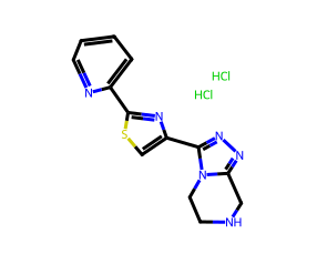 Cl.Cl.c1ccc(-c2nc(-c3nnc4n3CCNC4)cs2)nc1